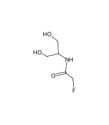 O=C(CF)NC(CO)CO